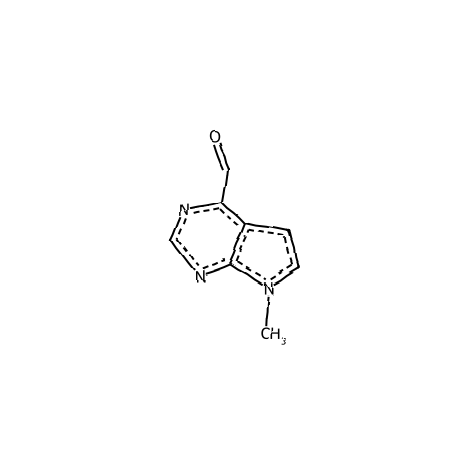 Cn1ccc2c(C=O)ncnc21